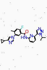 Cc1cc(F)c(C(=O)Nc2cccc(-c3cnnn3C(C)C)n2)cc1-n1cnc(C2CC2)c1